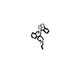 C=CCN1CCC2(CC1)CN(C(=O)c1ccccc1Cl)Cc1ccccc12